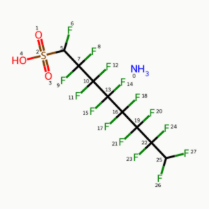 N.O=S(=O)(O)C(F)C(F)(F)C(F)(F)C(F)(F)C(F)(F)C(F)(F)C(F)(F)C(F)F